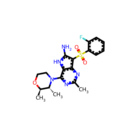 Cc1nc(N2CCO[C@H](C)[C@H]2C)c2[nH]c(N)c(S(=O)(=O)c3ccccc3F)c2n1